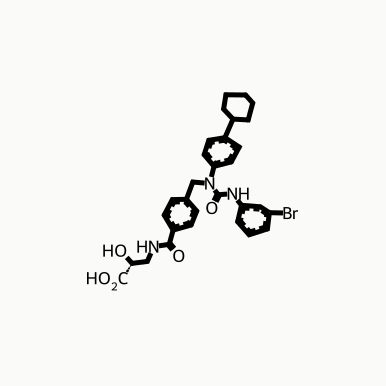 O=C(NC[C@@H](O)C(=O)O)c1ccc(CN(C(=O)Nc2cccc(Br)c2)c2ccc(C3CCCCC3)cc2)cc1